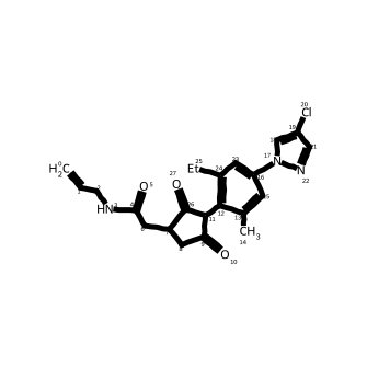 C=CCNC(=O)CC1CC(=O)C(c2c(C)cc(-n3cc(Cl)cn3)cc2CC)C1=O